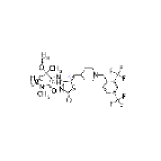 COC(C)(C)[C@H](NC1=NC(=O)S/C1=C\C1CCN(Cc2ccc(C(F)(F)F)cc2C(F)(F)F)CC1)C(=O)N(C)C